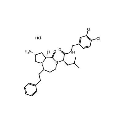 CC(C)C[C@H](C(=O)NCc1ccc(Cl)c(Cl)c1)N1CCC(CCc2ccccc2)N2C[C@H](N)C[C@H]2C1=O.Cl